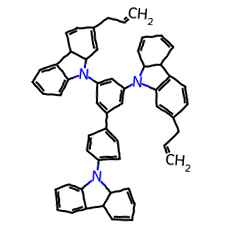 C=CCC1=CC2C(C=C1)c1ccccc1N2c1cc(-c2ccc(N3c4ccccc4C4C=CC=CC43)cc2)cc(N2c3cc(CC=C)ccc3C3C=CC=CC32)c1